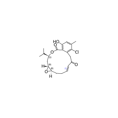 Cc1cc(O)c2c(c1Cl)CC(=O)/C=C/CC[C@H]1O[C@@H]1C[C@@H](C(C)C)OC2=O